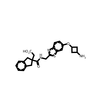 NC1CC(Oc2ccc3nc(CNC(=O)C4(CC(=O)O)Cc5ccccc5C4)sc3c2)C1